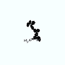 CCCCc1ccc(-c2ccc(-n3c4ccccc4c4cc(-c5ccc6c(c5)c5ccccc5n6-c5cccc(-c6ccccc6)c5)ccc43)cc2)c2c1sc1ccccc12